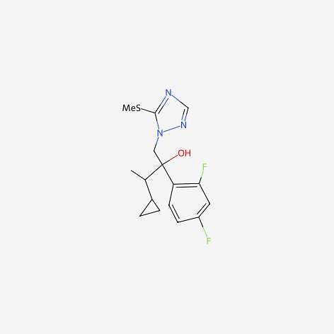 CSc1ncnn1CC(O)(c1ccc(F)cc1F)C(C)C1CC1